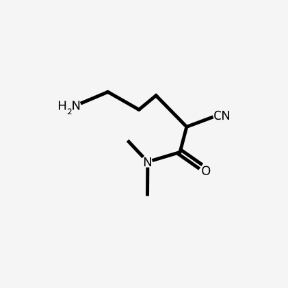 CN(C)C(=O)C(C#N)CCCN